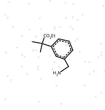 CCOC(=O)C(C)(C)c1cccc(CN)c1